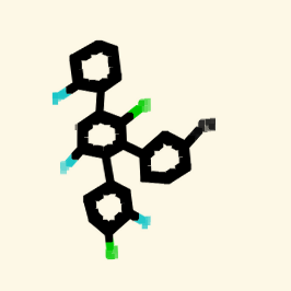 N#Cc1cccc(-c2c(Cl)c(-c3ccccc3F)[c]c(F)c2-c2ccc(Cl)c(F)c2)c1